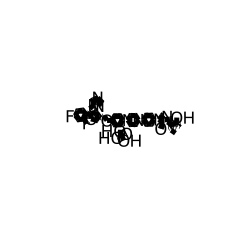 CC[C@@H]([C@H](C)O)n1ncn(-c2ccc(N3CCN(c4ccc(OC[C@@H]5CO[C@@](Cn6cncn6)(c6ccc(F)cc6F)C5)cc4)CC3)cc2)c1=O.O=P(O)(O)O